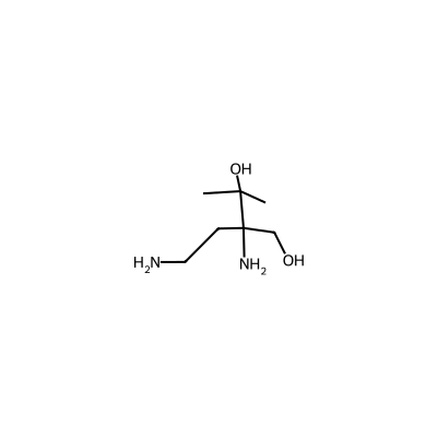 CC(C)(O)C(N)(CO)CCN